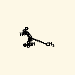 CCCCCCCCCCCCCCCC(=O)OC(COc1ccc(C(=O)c2ccccc2)c(O)c1)COc1ccc(C(=O)c2ccccc2)c(O)c1